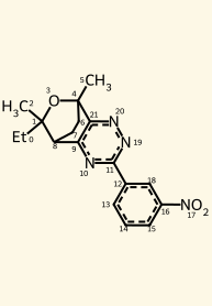 CCC1(C)OC2(C)CCC1c1nc(-c3cccc([N+](=O)[O-])c3)nnc12